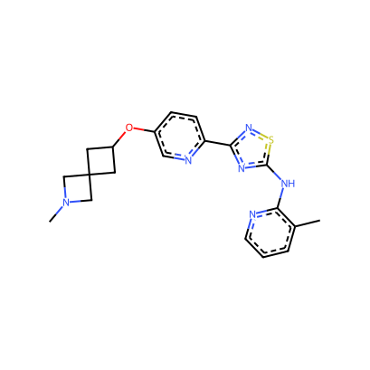 Cc1cccnc1Nc1nc(-c2ccc(OC3CC4(C3)CN(C)C4)cn2)ns1